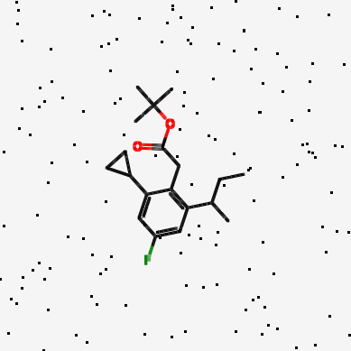 CCC(C)c1cc(F)cc(C2CC2)c1CC(=O)OC(C)(C)C